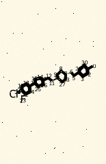 Cc1ccc(CC[C@H]2CC[C@H](CCc3ccc(-c4ccc(Cl)c(F)c4)cc3)CC2)cc1